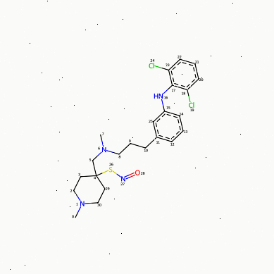 CN1CCC(CN(C)CCCc2cccc(Nc3c(Cl)cccc3Cl)c2)(SN=O)CC1